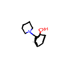 Oc1ccc[c]c1N1CCCCC1